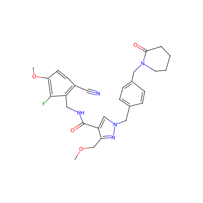 COCc1nn(Cc2ccc(CN3CCCCC3=O)cc2)cc1C(=O)NCc1c(C#N)ccc(OC)c1F